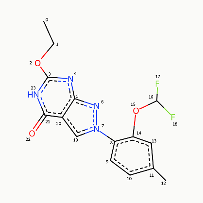 CCOc1nc2nn(-c3ccc(C)cc3OC(F)F)cc2c(=O)[nH]1